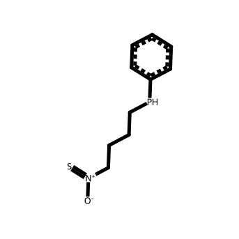 [O-][N+](=S)CCCCPc1ccccc1